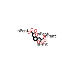 CCCCCOC(=O)C(=Cc1[c]ccc(C=C(C(=O)OCCCCC)C(=O)OCCCCC)c1)C(=O)OCCCCC